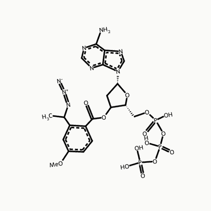 COc1ccc(C(=O)OC2C[C@H](n3cnc4c(N)ncnc43)O[C@@H]2COP(=O)(O)OP(=O)(O)OP(=O)(O)O)c(C(C)N=[N+]=[N-])c1